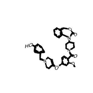 COc1cc(OC2CCN(Cc3cccc(O)c3)CC2)ccc1C(=O)N1CCC(N2C(=O)OCc3ccccc32)CC1